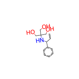 C=CC(NC(CO)(CO)CO)c1ccccc1